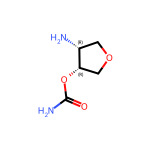 NC(=O)O[C@H]1COC[C@H]1N